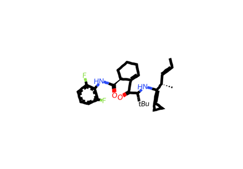 C/C=C/[C@H](C)C(NC(C(=O)C1=CCCC[C@@H]1C(=O)Nc1c(F)cccc1F)C(C)(C)C)=C1CC1